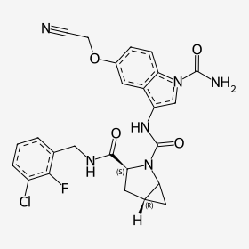 N#CCOc1ccc2c(c1)c(NC(=O)N1C3C[C@@H]3C[C@H]1C(=O)NCc1cccc(Cl)c1F)cn2C(N)=O